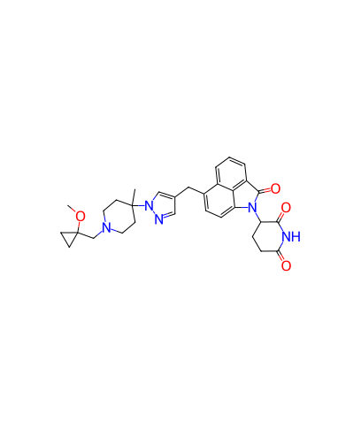 COC1(CN2CCC(C)(n3cc(Cc4ccc5c6c(cccc46)C(=O)N5C4CCC(=O)NC4=O)cn3)CC2)CC1